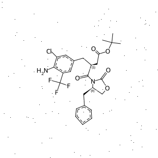 CC(C)(C)OC(=O)C[C@H](Cc1cc(Cl)c(N)c(C(F)(F)F)c1)C(=O)N1C(=O)OC[C@H]1Cc1ccccc1